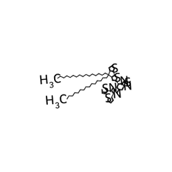 CCCCCCCCCCCCCCCCC1(CCCCCCCCCCCCCCCC)c2ccsc2-c2sc(-c3c4nsnc4cc4nc(-c5cccs5)c(-c5cccs5)nc34)cc21